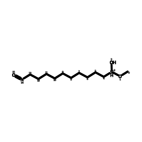 CO[SiH](O)CCCCCCCCCCN=O